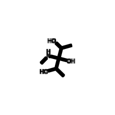 CNC(O)(C(C)O)C(C)O